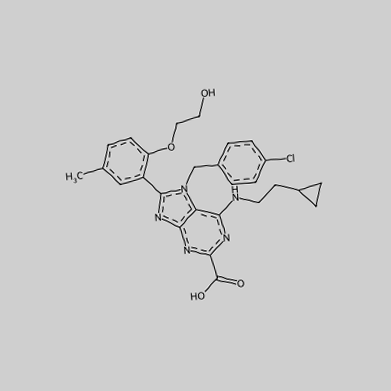 Cc1ccc(OCCO)c(-c2nc3nc(C(=O)O)nc(NCCC4CC4)c3n2Cc2ccc(Cl)cc2)c1